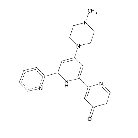 CN1CCN(C2=CC(c3ccccn3)NC(C3=CC(=O)CC=N3)=C2)CC1